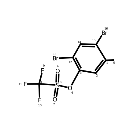 Cc1cc(OS(=O)(=O)C(F)(F)F)c(Br)cc1Br